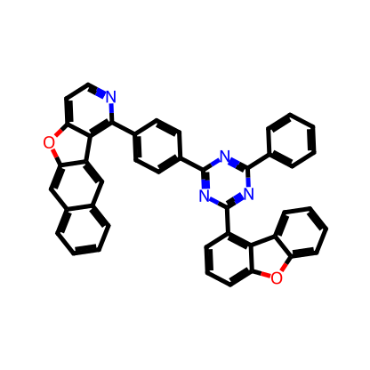 c1ccc(-c2nc(-c3ccc(-c4nccc5oc6cc7ccccc7cc6c45)cc3)nc(-c3cccc4oc5ccccc5c34)n2)cc1